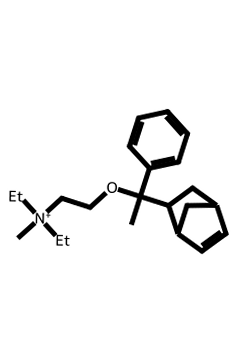 CC[N+](C)(CC)CCOC(C)(c1ccccc1)C1CC2C=CC1C2